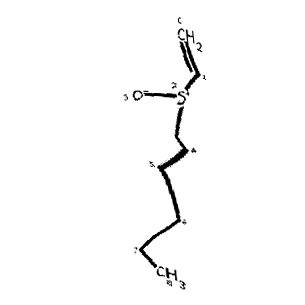 C=C[S+]([O-])CCCCC